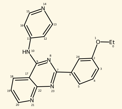 CCOc1cccc(-c2nc(Nc3ccncc3)c3cccnc3n2)c1